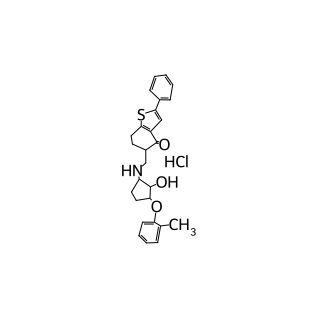 Cc1ccccc1OC1CCC(NCC2CCc3sc(-c4ccccc4)cc3C2=O)C1O.Cl